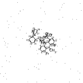 CC(c1ccccc1F)c1c(F)ccc2c1NC(NCc1ccccc1-n1cccn1)=NS2(=O)=O